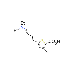 CCN(C=CCCc1cc(C)c(C(=O)O)s1)CC